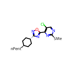 CCCCC[C@H]1CC[C@H](c2noc(-c3nc(SC)ncc3Cl)n2)CC1